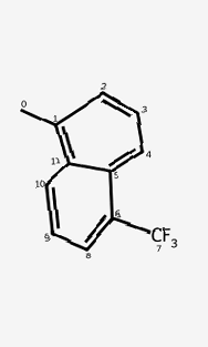 Cc1cccc2c(C(F)(F)F)cccc12